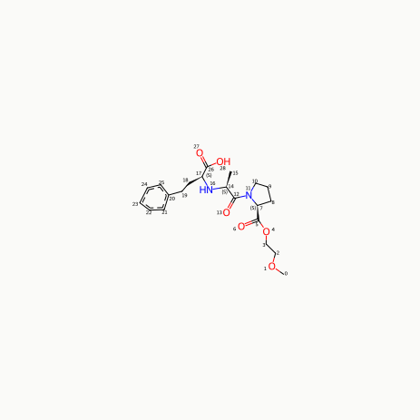 COCCOC(=O)[C@@H]1CCCN1C(=O)[C@H](C)N[C@@H](CCc1ccccc1)C(=O)O